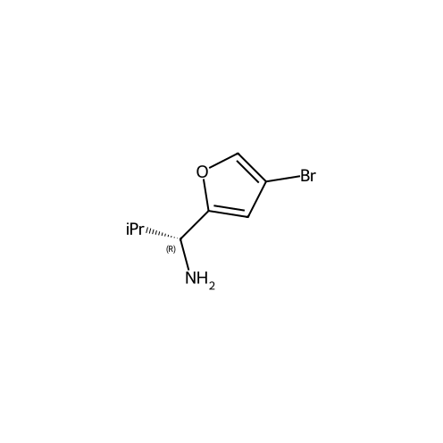 CC(C)[C@@H](N)c1cc(Br)co1